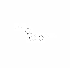 COc1ccc(CS(=O)(=O)c2cc3ccc(OC)cc3sc2=O)cc1